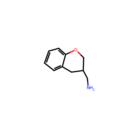 NCC1COc2ccccc2C1